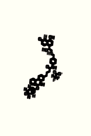 C[N+]1(C)[C@@H]2C[C@@H](OC(=O)Nc3cc(CCCC(=O)Nc4ccc(CNC[C@H](O)c5ccc(O)c6[nH]c(=O)ccc56)cc4)ccc3-c3ccccc3)C[C@H]1[C@@H]1O[C@@H]12.O=C([O-])C(F)(F)F